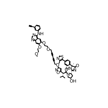 C#Cc1cccc(Nc2ncnc3cc(OCCOC)c(OCCOCC#CC#CCOc4cc([C@H](C(=O)N5C[C@H](O)C[C@H]5C5=NC(=O)[C@](C)(c6ccc(-c7scnc7C)cc6)N5)C(C)C)on4)cc23)c1